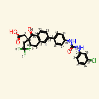 O=C(O)C[C@]1(CC(F)(F)F)CCc2cc(-c3ccc(NC(=O)Nc4cccc(Cl)c4)cc3)ccc2C1=O